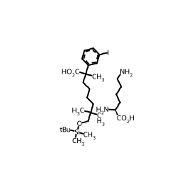 CC(C)(CCCCC(C)(C(=O)O)c1cccc(I)c1)CO[Si](C)(C)C(C)(C)C.NCCCC[C@H](N)C(=O)O